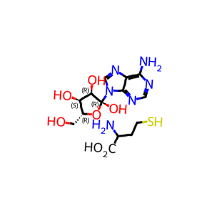 NC(CCS)C(=O)O.Nc1ncnc2c1ncn2[C@]1(O)O[C@H](CO)[C@@H](O)[C@H]1O